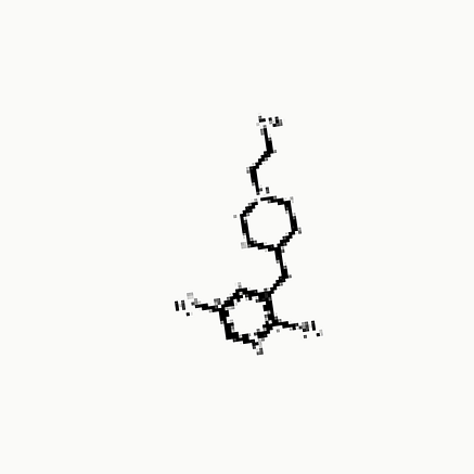 COCCN1CCC(Cc2cc(N)cnc2N)CC1